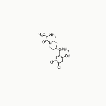 CC(N)C(=O)N1CCC([C@@H](N)c2cc(Cl)c(Cl)cc2O)CC1